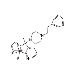 CC(c1ccn[nH]1)(c1cccnc1C(F)(F)F)N1CCN(CCc2ccccc2)CC1